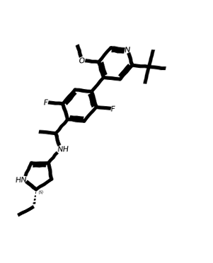 CC[C@H]1CC(NC(C)c2cc(F)c(-c3cc(C(C)(C)C)ncc3OC)cc2F)=CN1